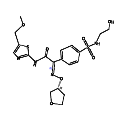 COCc1cnc(NC(=O)/C(=N/O[C@@H]2CCOC2)c2ccc(S(=O)(=O)NCCO)cc2)s1